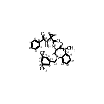 CN1C(=O)[C@H](NC(=O)C2(NC(=O)c3ccccc3)CC2)CN(Cc2cc(C(F)(F)F)cc(C(F)(F)F)c2)c2ccccc21